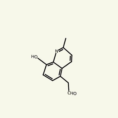 Cc1ccc2c(CC=O)ccc(O)c2n1